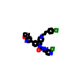 COc1ccc(-c2ccc3c(c2)C2(CCN(CC=Cc4ccc(Cl)cc4)CC2)CN3C(=O)NCc2ccnc(Cl)c2)cn1